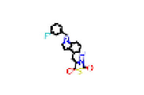 O=C1NC(=Cc2cccc3c2ccn3Cc2cccc(F)c2)C(=O)S1